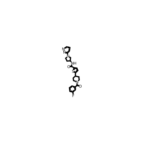 O=C(NC1CCN(c2cccnn2)C1)c1ccc(C2CCN(C(=O)c3cccc(F)c3)CC2)s1